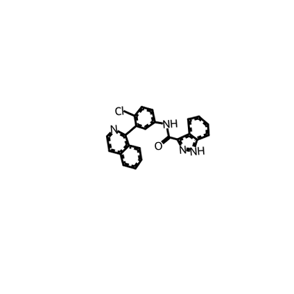 O=C(Nc1ccc(Cl)c(-c2nccc3ccccc23)c1)c1n[nH]c2ccccc12